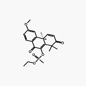 CCOP(C)(=O)OC1=C2C(C)(C)C(=O)C=C[C@]2(C)c2cc(OC)ccc2C1=O